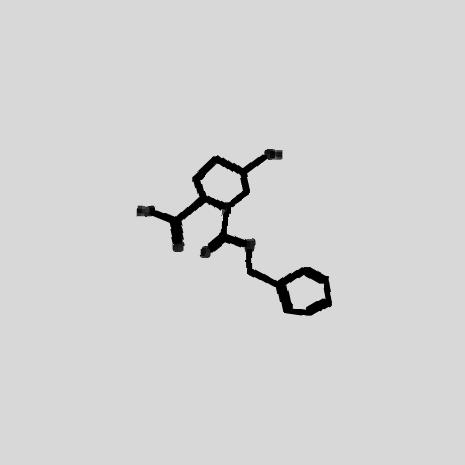 O=C(O)C1CCC(O)CN1C(=O)OCc1ccccc1